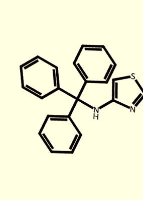 [c]1nc(NC(c2ccccc2)(c2ccccc2)c2ccccc2)cs1